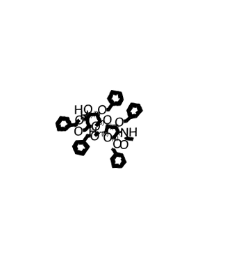 CC(=O)N[C@H]1[C@@H](OCc2ccccc2)O[C@H](COCc2ccccc2)[C@@H](O[C@@H]2O[C@@H]3COC(c4ccccc4)O[C@@H]3[C@H](O)[C@H]2OCc2ccccc2)[C@@H]1OCc1ccccc1